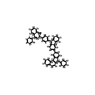 c1ccc(-c2nc(-c3ccc(-n4c5ccccc5c5cc(-c6ccc7c(c6)c6c8ccccc8ccc6n7-c6ccccc6)ccc54)cc3)nc3ccccc23)cc1